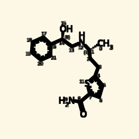 C[C@H](CCc1ccc(C(N)=O)s1)NC[C@H](O)c1ccccc1